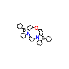 c1ccc(B2c3ccccc3N3c4cccc(c4)N4c5ccccc5B(c5ccccc5)c5ccc(cc54)Oc4ccc2c3c4)cc1